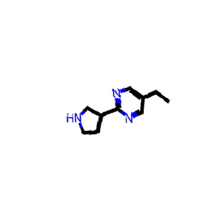 CCc1cnc(C2CCNC2)nc1